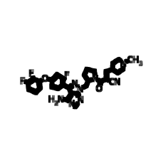 CN1CCC(C=C(C#N)C(=O)N2CCCC2Cn2nc(-c3ccc(Oc4cccc(F)c4F)cc3F)c3c(N)ncnc32)CC1